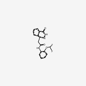 O=C(Cc1n[nH]c(=O)c2ccccc12)Nc1ccccc1OC(F)F